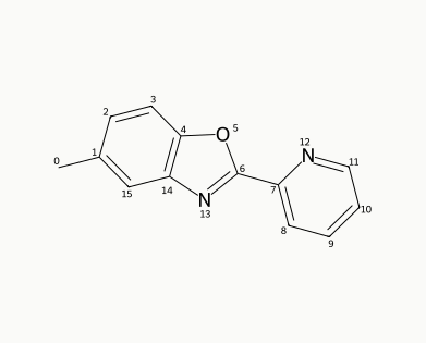 Cc1ccc2oc(-c3ccccn3)nc2c1